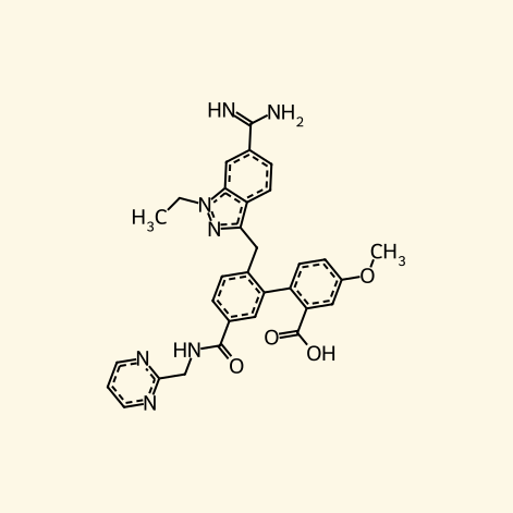 CCn1nc(Cc2ccc(C(=O)NCc3ncccn3)cc2-c2ccc(OC)cc2C(=O)O)c2ccc(C(=N)N)cc21